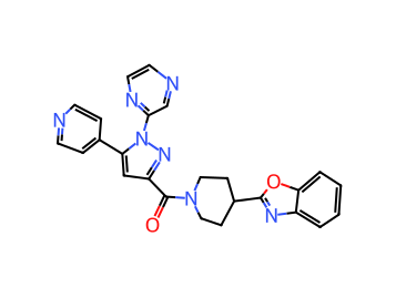 O=C(c1cc(-c2ccncc2)n(-c2cnccn2)n1)N1CCC(c2nc3ccccc3o2)CC1